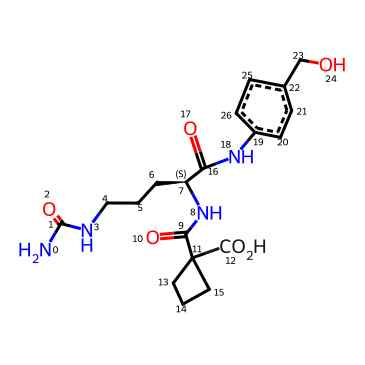 NC(=O)NCCC[C@H](NC(=O)C1(C(=O)O)CCC1)C(=O)Nc1ccc(CO)cc1